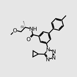 COC[C@H](C)NC(=O)c1cc(-c2ccc(C)cc2)cc(-n2nnnc2C2CC2)c1